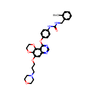 COc1ccccc1CNC(=O)Nc1ccc(Oc2ncnc3cc(OCCCN4CCOCC4)c4c(c23)OCCO4)cc1